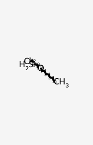 CCCCCCCCOC=C[SiH2]CCl